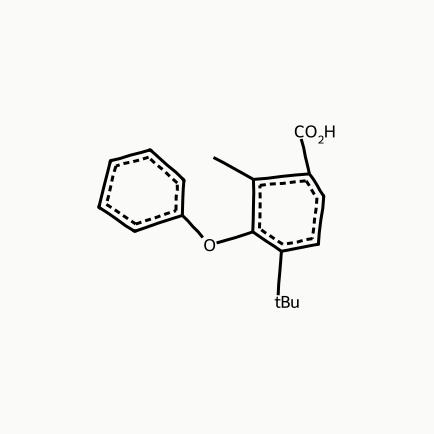 Cc1c(C(=O)O)ccc(C(C)(C)C)c1Oc1ccccc1